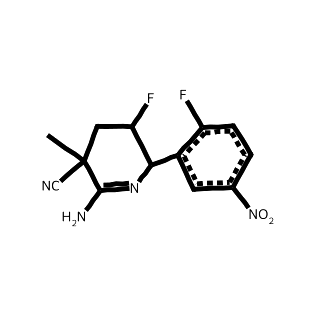 CC1(C#N)CC(F)C(c2cc([N+](=O)[O-])ccc2F)N=C1N